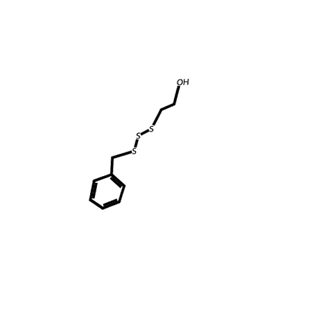 OCCSSSCc1ccccc1